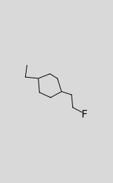 CCC1CCC(CCF)CC1